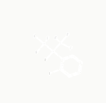 FC(F)(F)C(F)(c1ccccc1I)C(F)(F)F